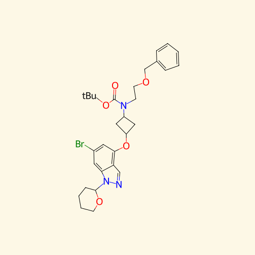 CC(C)(C)OC(=O)N(CCOCc1ccccc1)C1CC(Oc2cc(Br)cc3c2cnn3C2CCCCO2)C1